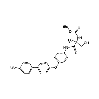 CC(C)(C)OC(=O)NC(C)(CO)C(=O)Nc1ccc(Oc2ccc(-c3ccc(C(C)(C)C)cc3)cc2)cc1